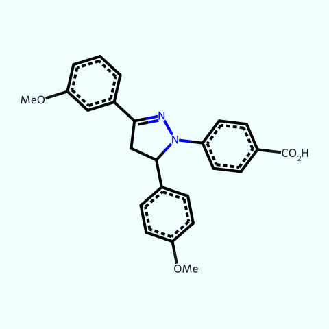 COc1ccc(C2CC(c3cccc(OC)c3)=NN2c2ccc(C(=O)O)cc2)cc1